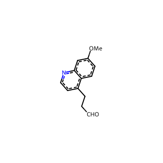 COc1ccc2c(CCC=O)ccnc2c1